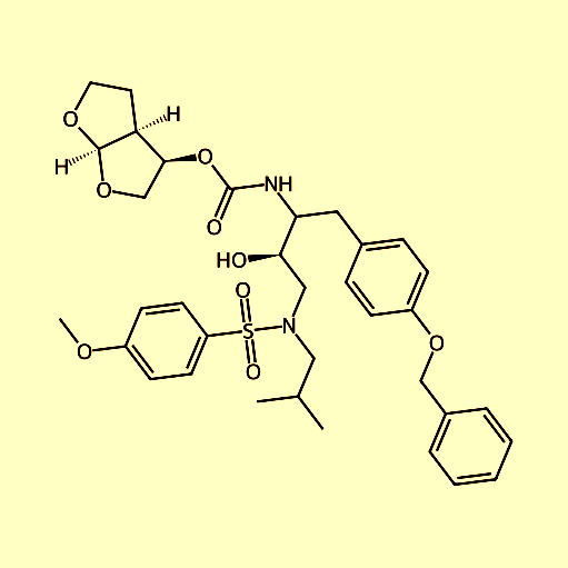 COc1ccc(S(=O)(=O)N(CC(C)C)C[C@@H](O)C(Cc2ccc(OCc3ccccc3)cc2)NC(=O)O[C@H]2CO[C@H]3OCC[C@H]32)cc1